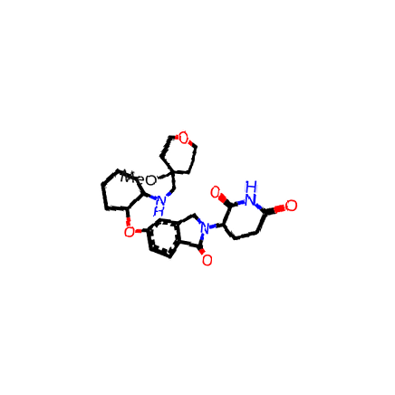 COC1(CNC2CCCCC2Oc2ccc3c(c2)CN(C2CCC(=O)NC2=O)C3=O)CCOCC1